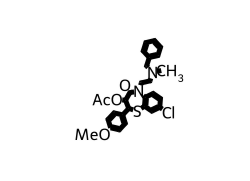 COc1ccc(C2Sc3cc(Cl)ccc3N(CCN(C)Cc3ccccc3)C(=O)C2OC(C)=O)cc1